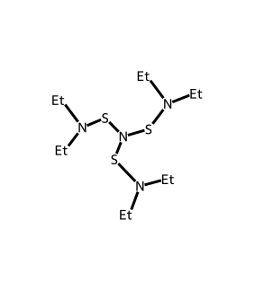 CCN(CC)SN(SN(CC)CC)SN(CC)CC